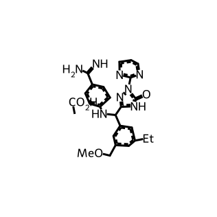 CC(=O)O.CCc1cc(COC)cc(C(Nc2ccc(C(=N)N)cc2)c2nn(-c3ncccn3)c(=O)[nH]2)c1